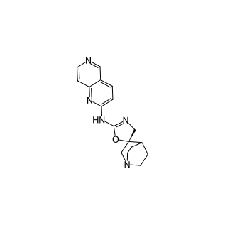 c1cc2nc(NC3=NC[C@@]4(CN5CCC4CC5)O3)ccc2cn1